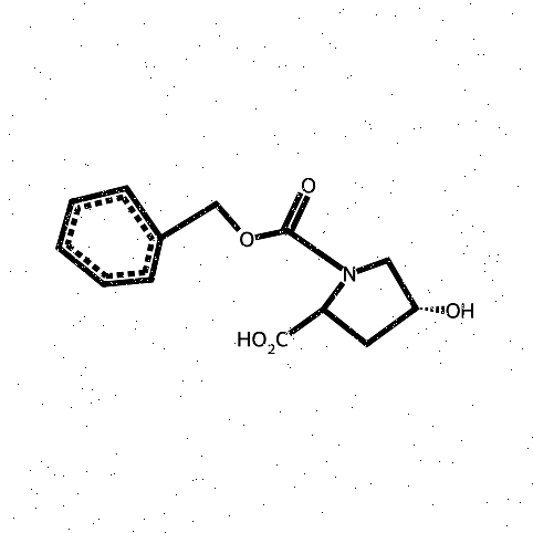 O=C(O)C1C[C@@H](O)CN1C(=O)OCc1ccccc1